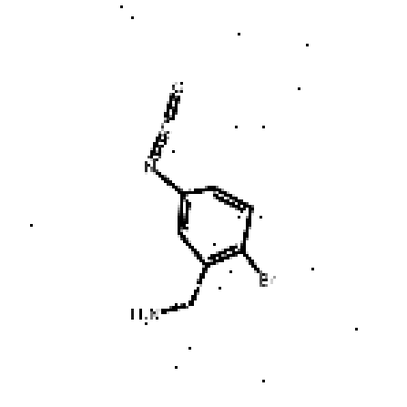 NCc1cc(N=C=O)ccc1Br